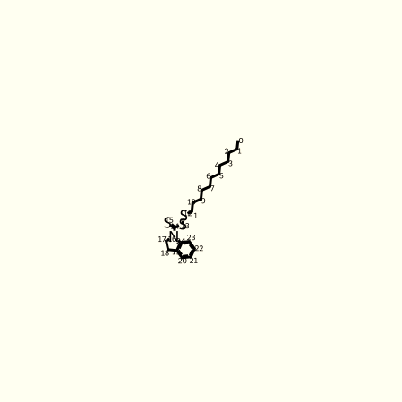 CCCCCCCCCCCCSSC(=S)N1CCc2ccccc21